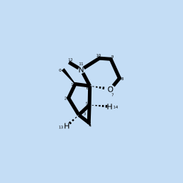 C[C@@H]1C[C@@H]2C[C@@H]2[C@@]12OCCCN2C